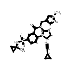 Cn1cc(CN2C(=O)c3cc(S(=O)(=O)NC4(C)CC4)ccc3N3C2=NC[C@@H]3C#CC2CC2)cn1